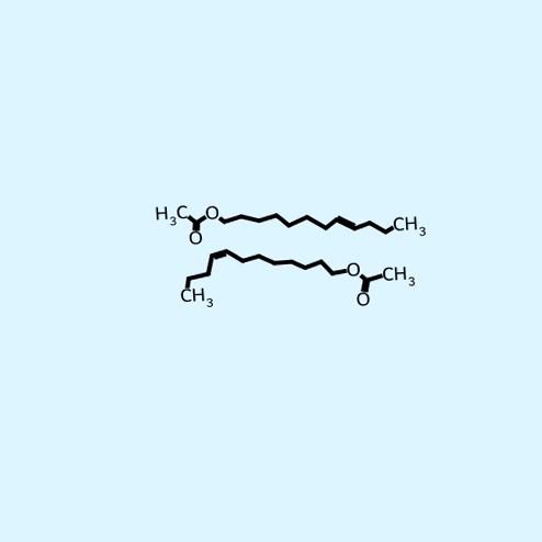 CCC/C=C/CCCCCCCOC(C)=O.CCC/C=C\CCCCCCCOC(C)=O